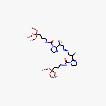 CCCO[Si](CCCNC(=O)N1CCN=C1C(C)CN=NCC(C)C1=NCCN1C(=O)NCCC[Si](OCCC)(OCCC)OCCC)(OCCC)OCCC